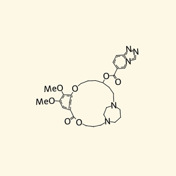 COc1cc2cc(c1OC)OCCCC(OC(=O)c1ccc3nncn3c1)CCN1CCCN(CCCOC2=O)CC1